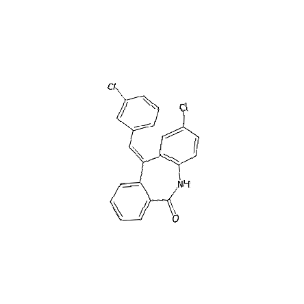 O=C1Nc2ccc(Cl)cc2C(=Cc2cccc(Cl)c2)c2ccccc21